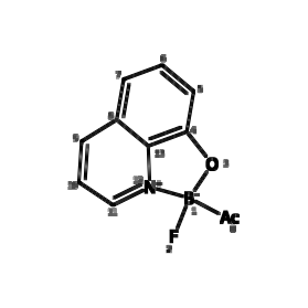 CC(=O)[B-]1(F)Oc2cccc3ccc[n+]1c23